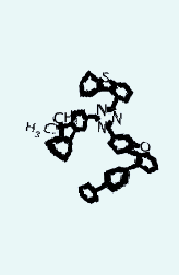 CC1(C)c2ccccc2-c2cc(-c3nc(-c4ccc5c(c4)oc4cccc(-c6ccc(-c7ccccc7)cc6)c45)nc(-c4cccc5sc6ccccc6c45)n3)ccc21